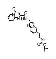 CC(C)(C)OC(=O)NCCc1ccc2nc(CNC(=O)c3cc(=O)n4ccccc4n3)cn2c1